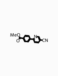 COC(=O)c1ccc(-c2ccc(C#N)cn2)cc1